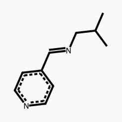 CC(C)CN=Cc1ccncc1